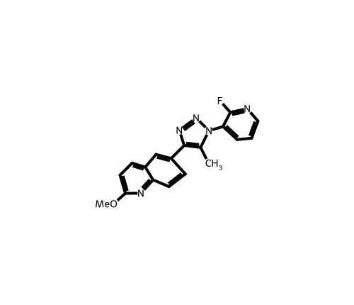 COc1ccc2cc(-c3nnn(-c4cccnc4F)c3C)ccc2n1